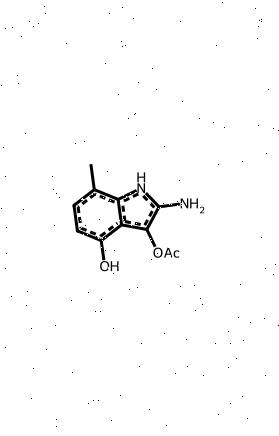 CC(=O)Oc1c(N)[nH]c2c(C)ccc(O)c12